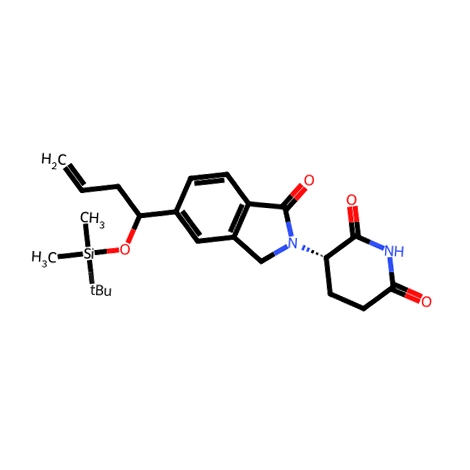 C=CCC(O[Si](C)(C)C(C)(C)C)c1ccc2c(c1)CN([C@H]1CCC(=O)NC1=O)C2=O